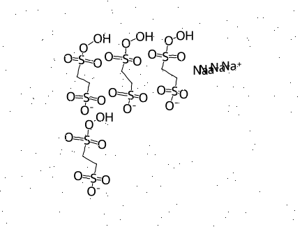 O=S(=O)([O-])CCS(=O)(=O)OO.O=S(=O)([O-])CCS(=O)(=O)OO.O=S(=O)([O-])CCS(=O)(=O)OO.O=S(=O)([O-])CCS(=O)(=O)OO.[Na+].[Na+].[Na+].[Na+]